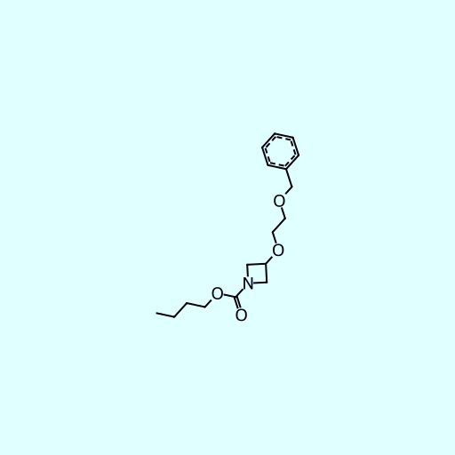 CCCCOC(=O)N1CC(OCCOCc2ccccc2)C1